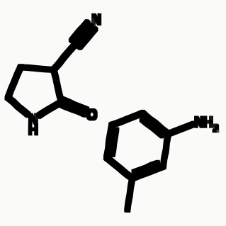 Cc1cccc(N)c1.N#CC1CCNC1=O